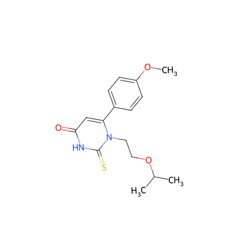 COc1ccc(-c2cc(=O)[nH]c(=S)n2CCOC(C)C)cc1